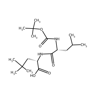 CC(C)C[C@@H](NC(=O)OC(C)(C)C)C(=O)N[C@@H](CC(C)(C)C)C(=O)O